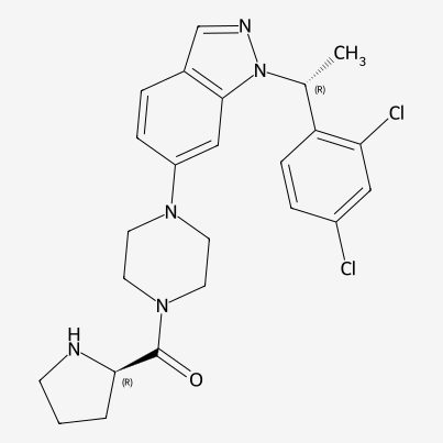 C[C@H](c1ccc(Cl)cc1Cl)n1ncc2ccc(N3CCN(C(=O)[C@H]4CCCN4)CC3)cc21